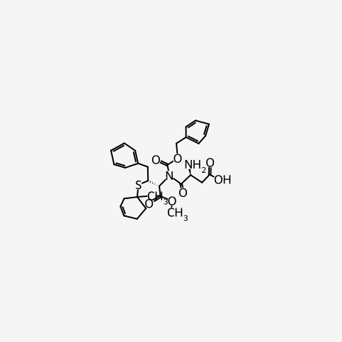 COC(=O)[C@H](C(Cc1ccccc1)SC1(C)CC=CCC1)N(C(=O)OCc1ccccc1)C(=O)[C@@H](N)CC(=O)O